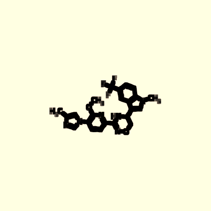 COc1nc(C2=NOCC(c3cn(C)c4ccc(C(F)(F)F)cc34)N2)ccc1-n1cnc(C)c1